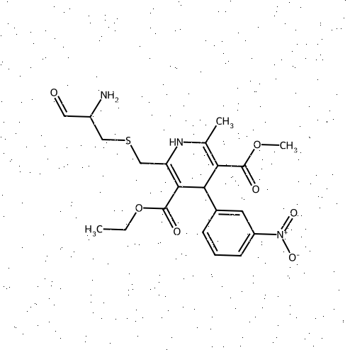 CCOC(=O)C1=C(CSCC(N)C=O)NC(C)=C(C(=O)OC)C1c1cccc([N+](=O)[O-])c1